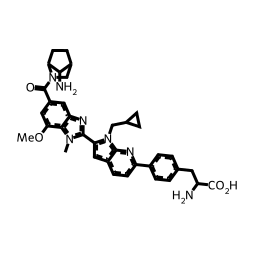 COc1cc(C(=O)N2CC3CCC2C3N)cc2nc(-c3cc4ccc(-c5ccc(CC(N)C(=O)O)cc5)nc4n3CC3CC3)n(C)c12